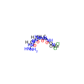 COc1cc(C(=O)Nc2cc(C(=O)Nc3cc(C(=O)Nc4cc(C(=O)NCCC(=N)N)n(C)n4)n(C)n3)n(C)c2)ccc1N(CCCl)CCCl